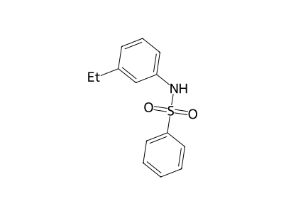 CCc1cccc(NS(=O)(=O)c2ccccc2)c1